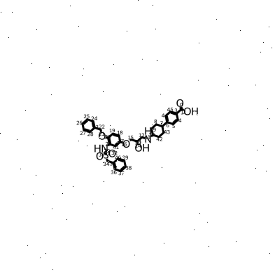 O=C(O)c1ccc(C2CCC(NC[C@H](O)COc3ccc(OCc4ccccc4)c(NS(=O)(=O)Cc4ccccc4)c3)CC2)cc1